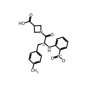 Cc1ccc(C[C@H](Nc2ccccc2[N+](=O)[O-])C(=O)N2CC(C(=O)O)C2)cc1